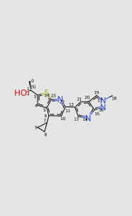 C[C@H](O)c1cc2c(C3CC3)cc(-c3cnc4nn(C)cc4c3)nc2s1